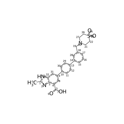 Cc1nc2c(C(=O)O)cc(-c3ccc(-c4cccc(CN5CCS(=O)(=O)CC5)c4)cc3)cc2[nH]1